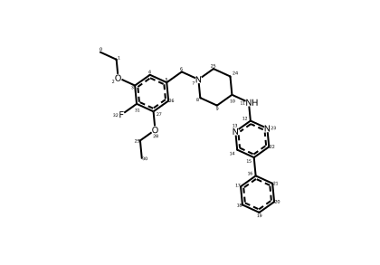 CCOc1cc(CN2CCC(Nc3ncc(-c4ccccc4)cn3)CC2)cc(OCC)c1F